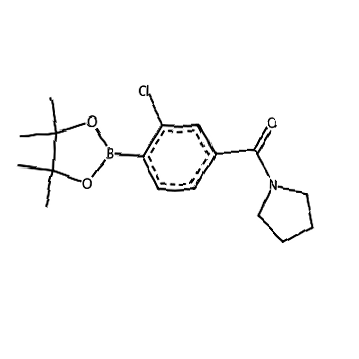 CC1(C)OB(c2ccc(C(=O)N3CCCC3)cc2Cl)OC1(C)C